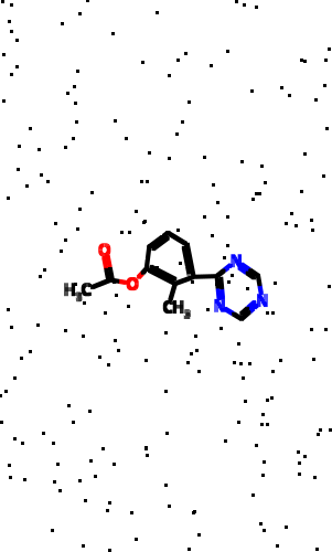 CC(=O)Oc1cccc(-c2ncncn2)c1C